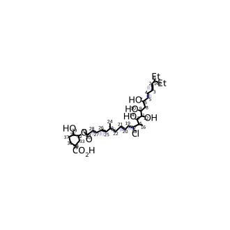 CCC(/C=C/C=C/C(O)CC(O)C(O)C(O)C(C)/C(Cl)=C/C=C/C=C(C)/C=C/C=C/C(=O)OC1CC(C(=O)O)CCC1O)CC